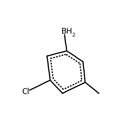 Bc1cc(C)cc(Cl)c1